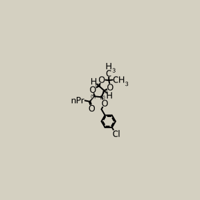 CCCC(=O)[C@H]1O[C@@H]2OC(C)(C)O[C@@H]2[C@H]1OCc1ccc(Cl)cc1